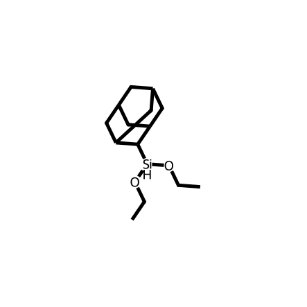 CCO[SiH](OCC)C1C2CC3CC(C2)CC1C3